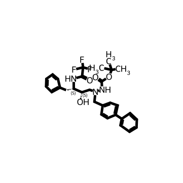 CC(C)(C)OC(=O)NN(Cc1ccc(-c2ccccc2)cc1)C[C@H](O)[C@H](Cc1ccccc1)NC(=O)C(F)(F)F